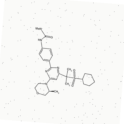 CNC(=O)Nc1ccc(-c2nc(N3CCOC[C@@H]3C)cc(C(C)(C)S(=O)(=O)C3CCCCC3)n2)cc1